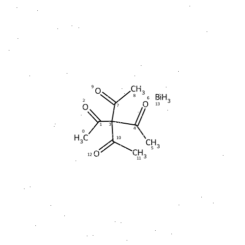 CC(=O)C(C(C)=O)(C(C)=O)C(C)=O.[BiH3]